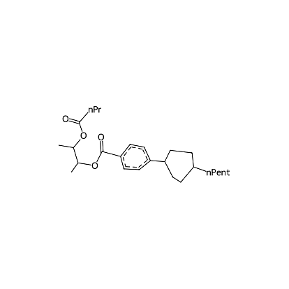 CCCCCC1CCC(c2ccc(C(=O)OC(C)C(C)OC(=O)CCC)cc2)CC1